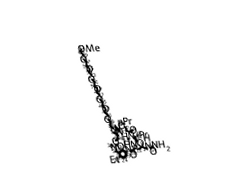 CCCOCCC(=O)N[C@H](C(=O)N[C@@H](CCCNC(N)=O)C(=O)Nc1ccc(CC)c(CN(C)C(=O)OCc2cn(CCOCCOCCOCCOCCOCCOCCOCCOC)nn2)c1)C(C)C